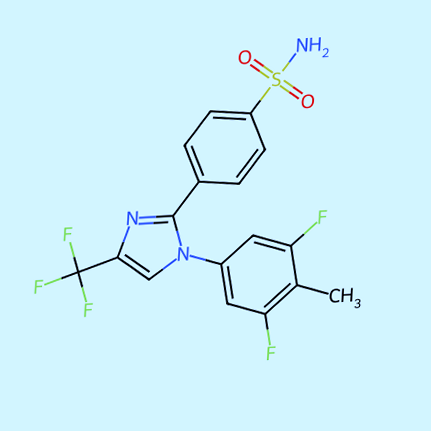 Cc1c(F)cc(-n2cc(C(F)(F)F)nc2-c2ccc(S(N)(=O)=O)cc2)cc1F